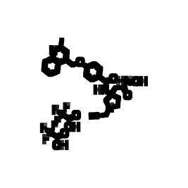 C#CCN1CCC(CC(=O)NO)(NC(=O)c2ccc(OCc3cc(C)nc4ccccc34)cc2)C1.O=C(O)C(F)(F)F.O=C(O)C(F)(F)F